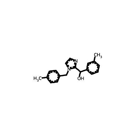 Cc1ccc(Cn2ccnc2C(O)c2cccc(C)c2)cc1